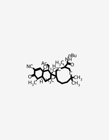 CCCCNC(=O)[C@@]1(C)CCC(C)(C)CCC[C@](C)([C@]2(C)CC[C@H]3[C@H](C)C(=O)C(C#N)=C[C@]3(C)[C@H]2CC(C)=O)CC1